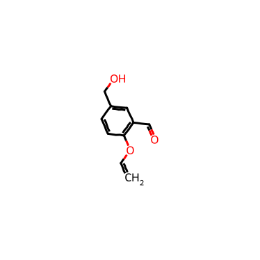 C=COc1ccc(CO)cc1C=O